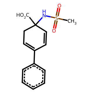 CS(=O)(=O)NC1(C(=O)O)C=CC(c2ccccc2)=CC1